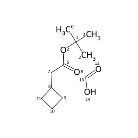 CC(C)(C)OC(=O)CC1CCC1.O=CO